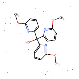 COc1cccc(C(O)(c2cccc(OC)n2)c2cccc(OC)n2)n1